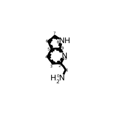 NCc1ccc2cc[nH]c2n1